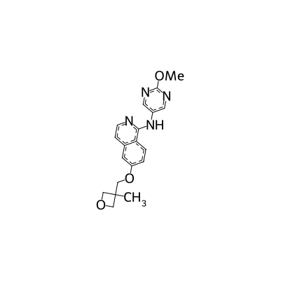 COc1ncc(Nc2nccc3cc(OCC4(C)COC4)ccc23)cn1